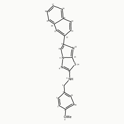 COc1ccc(CNc2nn3cc(-c4ccc5ccccc5c4)nc3s2)cc1